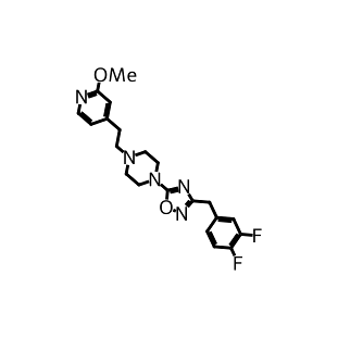 COc1cc(CCN2CCN(c3nc(Cc4ccc(F)c(F)c4)no3)CC2)ccn1